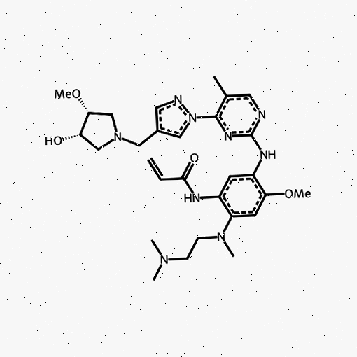 C=CC(=O)Nc1cc(Nc2ncc(C)c(-n3cc(CN4C[C@H](O)[C@H](OC)C4)cn3)n2)c(OC)cc1N(C)CCN(C)C